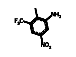 Cc1c(N)cc([N+](=O)[O-])cc1C(F)(F)F